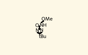 COCCNC(=O)c1ncc(C(C)(C)C)cn1